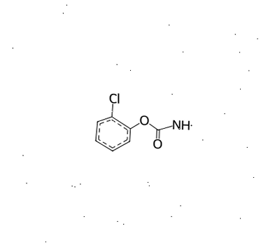 [NH]C(=O)Oc1ccccc1Cl